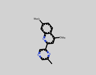 COc1ccc2c(OC)cc(-c3cncc(C)n3)nc2c1